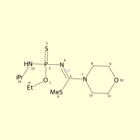 CCOP(=S)(/N=C(\SC)N1CCOCC1)NC(C)C